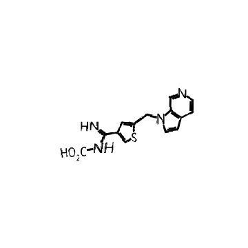 N=C(NC(=O)O)c1csc(Cn2ccc3ccncc32)c1